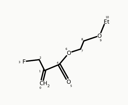 C=C(CF)C(=O)OCCOCC